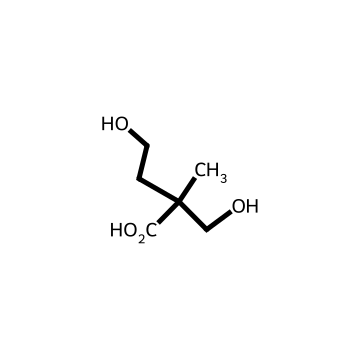 CC(CO)(CCO)C(=O)O